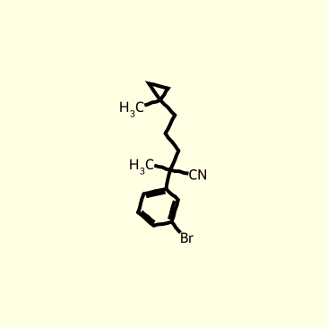 CC1(CCCC(C)(C#N)c2cccc(Br)c2)CC1